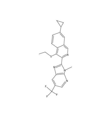 CCSc1c(-c2nc3cc(C(F)(F)F)cnc3n2C)ncc2cc(C3CC3)ccc12